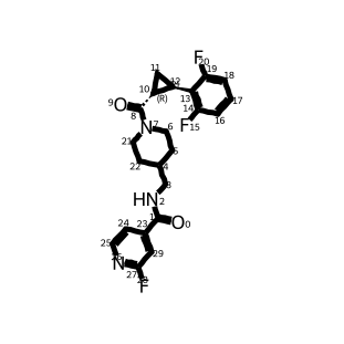 O=C(NCC1CCN(C(=O)[C@@H]2C[C@H]2c2c(F)cccc2F)CC1)c1ccnc(F)c1